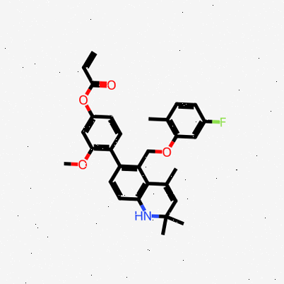 C=CC(=O)Oc1ccc(-c2ccc3c(c2COc2cc(F)ccc2C)C(C)=CC(C)(C)N3)c(OC)c1